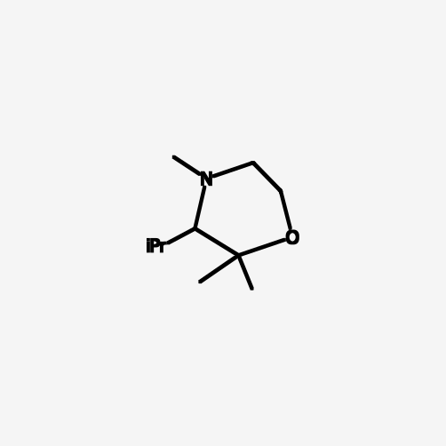 CC(C)C1N(C)CCOC1(C)C